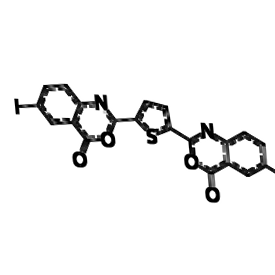 O=c1oc(-c2ccc(-c3nc4ccc(I)cc4c(=O)o3)s2)nc2ccc(I)cc12